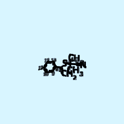 C=C(SC(C)(C)C#N)c1ccccc1